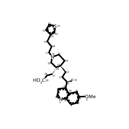 COc1ccc2nccc([C@H](F)CC[C@@H]3CCN(CCCc4ccsc4)C[C@H]3CCC(=O)O)c2c1